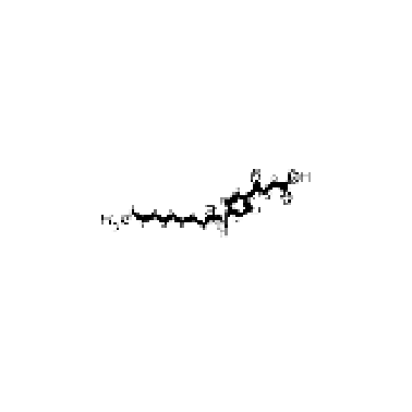 CCCCCCCCCC(=O)Nc1ccc(C(=O)CCC(=O)O)cc1